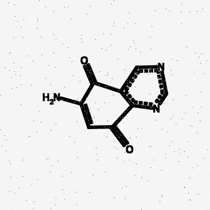 NC1=CC(=O)c2ncncc2C1=O